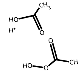 CC(=O)O.CC(=O)OO.[H+]